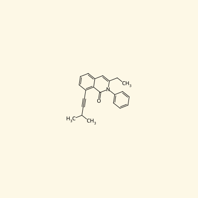 CCc1cc2cccc(C#CC(C)C)c2c(=O)n1-c1ccccc1